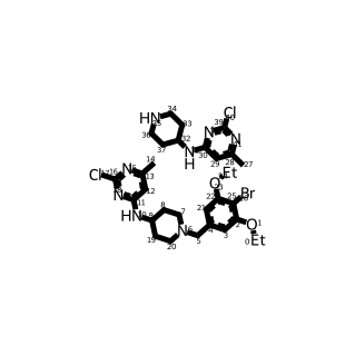 CCOc1cc(CN2CCC(Nc3cc(C)nc(Cl)n3)CC2)cc(OCC)c1Br.Cc1cc(NC2CCNCC2)nc(Cl)n1